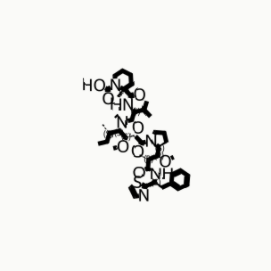 CC[C@H](C)[C@@H]([C@H](CC(=O)N1CCC[C@H]1[C@H](OC)[C@@H](C)C(=O)N[C@@H](Cc1ccccc1)c1nccs1)OC)N(C)C(=O)[C@@H](NC(=O)[C@@]1(C)CCCCN1C(=O)O)C(C)C